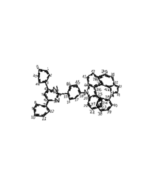 c1ccc(-c2cc(-c3ccccc3)nc(-c3ccc(-n4c5ccccc5c5c6c(ccc7ccn(-c8ccccc8)c76)ccc54)cc3)n2)cc1